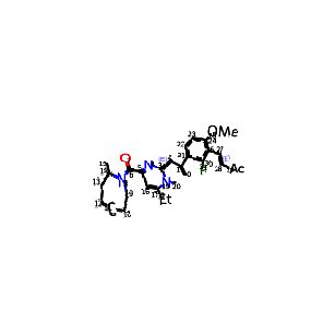 C=C(/C=C1/N=C(C(=O)N2CCCCCC2C)C=C(CC)N1C)c1ccc(OC)c(/C=C/C(C)=O)c1F